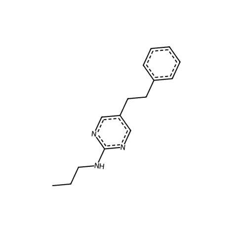 CCCNc1ncc(CCc2ccccc2)cn1